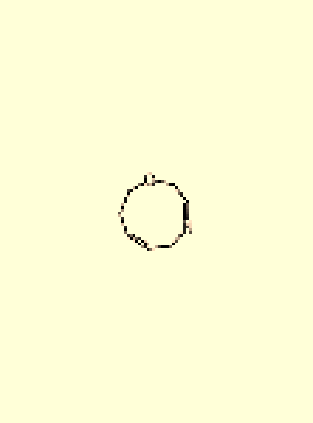 C1=CCN=CCOCC1